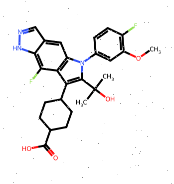 COc1cc(-n2c(C(C)(C)O)c(C3CCC(C(=O)O)CC3)c3c(F)c4[nH]ncc4cc32)ccc1F